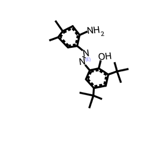 Cc1cc(N)c(/N=N/c2cc(C(C)(C)C)cc(C(C)(C)C)c2O)cc1C